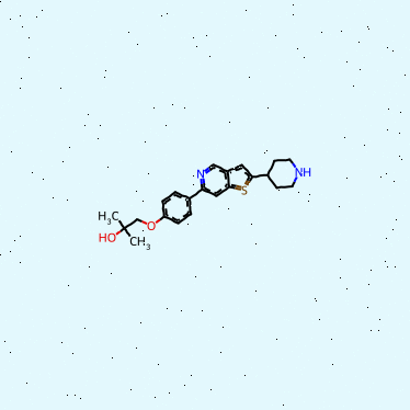 CC(C)(O)COc1ccc(-c2cc3sc(C4CCNCC4)cc3cn2)cc1